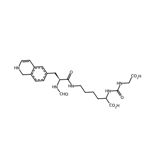 O=CN[C@@H](Cc1ccc2c(c1)C=CNC2)C(=O)NCCCCC(NC(=O)NCC(=O)O)C(=O)O